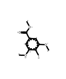 COC(=O)c1cc(OC)c(I)c(OC)c1